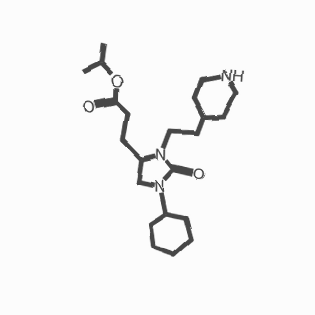 CC(C)OC(=O)CCC1CN(C2CCCCC2)C(=O)N1CCC1CCNCC1